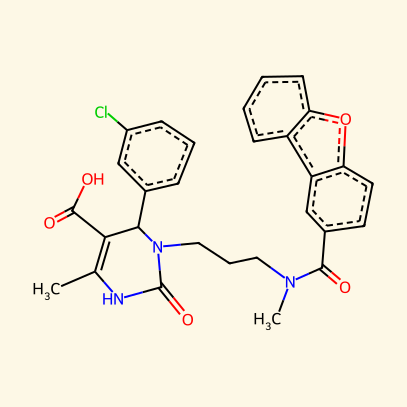 CC1=C(C(=O)O)C(c2cccc(Cl)c2)N(CCCN(C)C(=O)c2ccc3oc4ccccc4c3c2)C(=O)N1